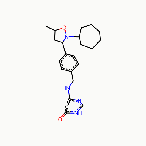 CC1CC(c2ccc(CNc3cc(=O)[nH]cn3)cc2)N(C2CCCCCC2)O1